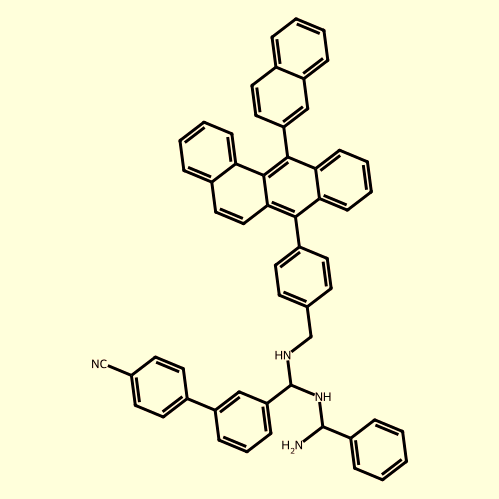 N#Cc1ccc(-c2cccc(C(NCc3ccc(-c4c5ccccc5c(-c5ccc6ccccc6c5)c5c4ccc4ccccc45)cc3)NC(N)c3ccccc3)c2)cc1